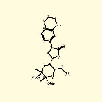 CO[C@@]1(C)O[C@H](C2CN(c3ccc4c(c3)OCCO4)C(=O)O2)[C@@H](CN)O[C@]1(C)OC